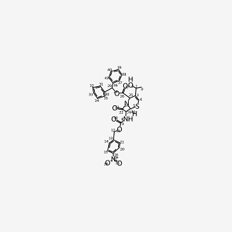 CC(O)C1=CS[C@H]2C(NC(=O)OCc3ccc([N+](=O)[O-])cc3)C(=O)N2C1C(=O)OC(c1ccccc1)c1ccccc1